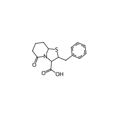 O=C(O)C1C(Cc2ccccc2)SC2CCCC(=O)N21